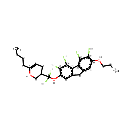 CCCCC1=CCC(C(F)(F)Oc2cc3c(c(F)c2F)-c2c(cc(OCCC)c(F)c2F)C3)CO1